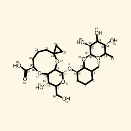 CC1CCC[C@@H](O[C@@H]2OC(CO)[C@H](O)C3O[C@@H](C(=O)O)CCCC4(CC4)OC32)C1O[C@@H]1OC(C)[C@@H](O)C(O)[C@@H]1O